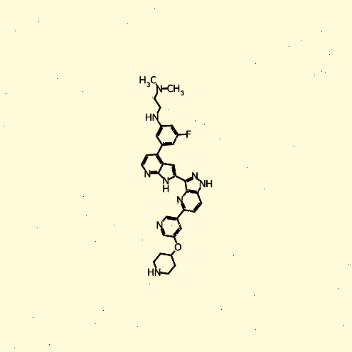 CN(C)CCNc1cc(F)cc(-c2ccnc3[nH]c(-c4n[nH]c5ccc(-c6cncc(OC7CCNCC7)c6)nc45)cc23)c1